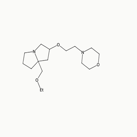 CCOCC12CCCN1CC(OCCN1CCOCC1)C2